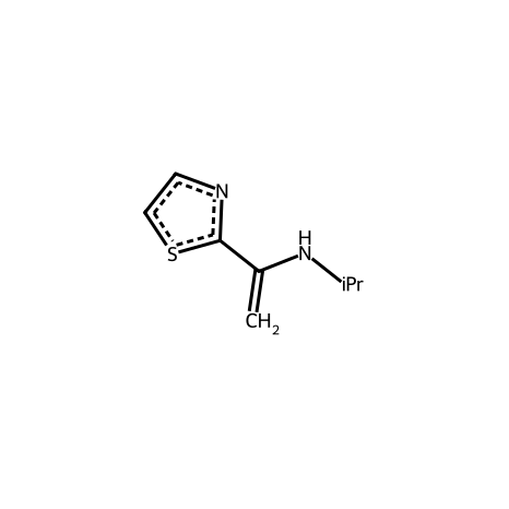 C=C(NC(C)C)c1nccs1